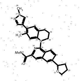 CNC(=O)c1cc2cc(C3CCCO3)ccc2c(N2CCCc3cc(-c4cnn(C)c4)c(C)cc32)n1